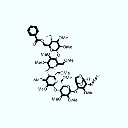 COCC1O[C@@H](O[C@H]2C(OC)C(OC)[C@@H](O[C@H]3C(OC)C(OC)[C@H](O[C@H]4C5CO[C@H](O5)[C@@H](N=[N+]=[N-])C4OC)O[C@H]3COC)O[C@H]2COC)[C@@H](OC)C(OC)[C@@H]1O[C@@H]1OC(COC(=O)c2ccccc2)[C@@H](O)C(OC)[C@@H]1OC